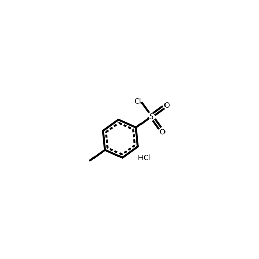 Cc1ccc(S(=O)(=O)Cl)cc1.Cl